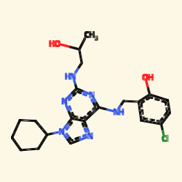 CC(O)CNc1nc(NCc2cc(Cl)ccc2O)c2ncn(C3CCCCC3)c2n1